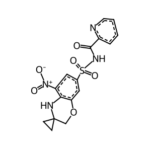 O=C(NS(=O)(=O)c1cc2c(c([N+](=O)[O-])c1)NC1(CC1)CO2)c1ccccn1